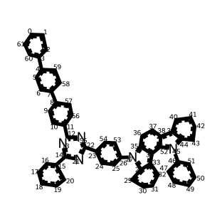 c1ccc(-c2ccc(-c3ccc(-c4nc(-c5ccccc5)nc(-c5ccc(-n6c7ccccc7c7c6ccc6c8ccccc8n(-c8ccccc8)c67)cc5)n4)cc3)cc2)cc1